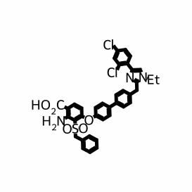 CCn1cc(-c2ccc(Cl)cc2Cl)nc1Cc1ccc(-c2ccc(Oc3ccc(C(=O)O)c(N)c3S(=O)(=O)Cc3ccccc3)cc2)cc1